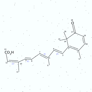 CC1=C(/C=C/C(C)=C/C=C/C(C)=C\C(=O)O)C(C)(C)C(=O)C=C1